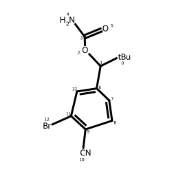 CC(C)(C)C(OC(N)=O)c1ccc(C#N)c(Br)c1